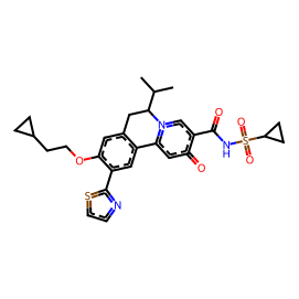 CC(C)C1Cc2cc(OCCC3CC3)c(-c3nccs3)cc2-c2cc(=O)c(C(=O)NS(=O)(=O)C3CC3)cn21